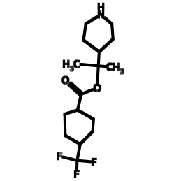 CC(C)(OC(=O)C1CCC(C(F)(F)F)CC1)C1CCNCC1